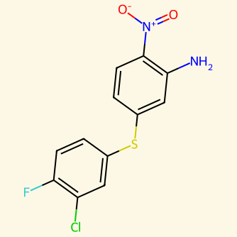 Nc1cc(Sc2ccc(F)c(Cl)c2)ccc1[N+](=O)[O-]